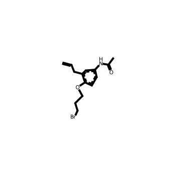 C=CCc1cc(NC(C)=O)ccc1OCCCBr